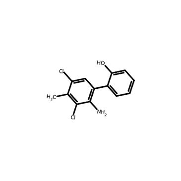 Cc1c(Cl)cc(-c2ccccc2O)c(N)c1Cl